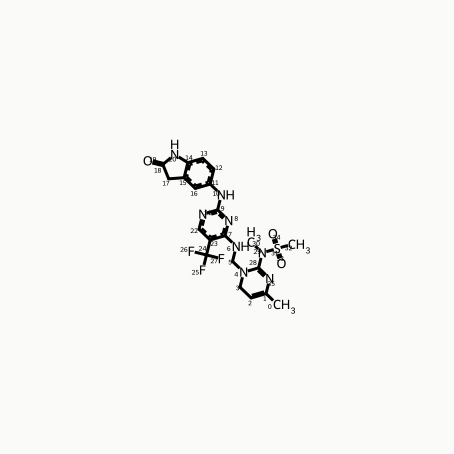 CC1=CCN(CNc2nc(Nc3ccc4c(c3)CC(=O)N4)ncc2C(F)(F)F)C(N(C)S(C)(=O)=O)=N1